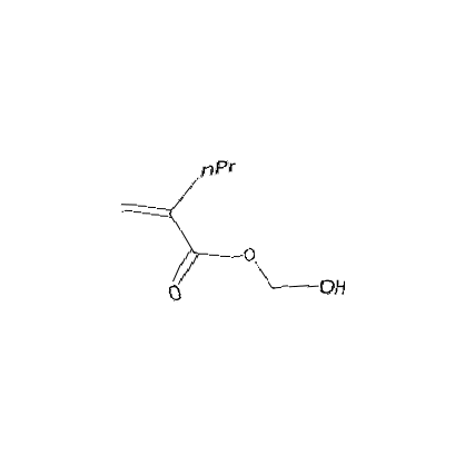 C=C(CCC)C(=O)OCO